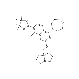 Cc1c(B2OC(C)(C)C(C)(C)O2)ccc2c(N3CCCOCC3)nc(OCC34CCCN3CCC4)nc12